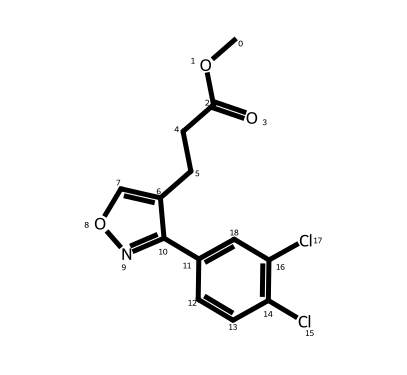 COC(=O)CCc1conc1-c1ccc(Cl)c(Cl)c1